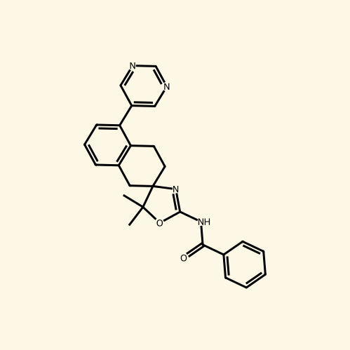 CC1(C)OC(NC(=O)c2ccccc2)=NC12CCc1c(cccc1-c1cncnc1)C2